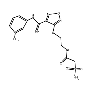 Cc1cccc(NC(=N)c2nonc2SCCNC(=O)CS(N)(=O)=O)c1